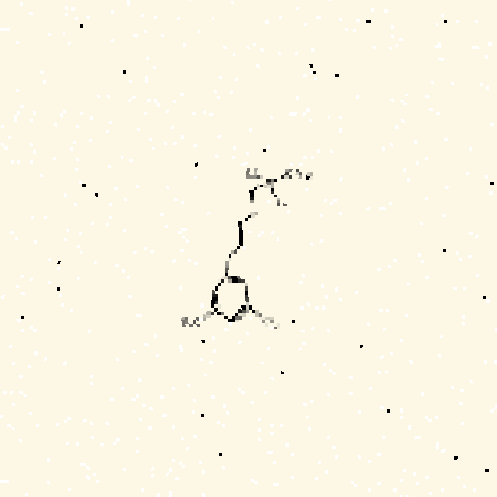 CC[Si](CC)(CCCCCc1cc(C(F)(F)F)cc(C(F)(F)F)c1)OC